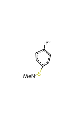 CNSc1ccc(C(C)C)cc1